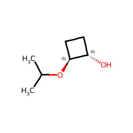 CC(C)O[C@H]1CC[C@@H]1O